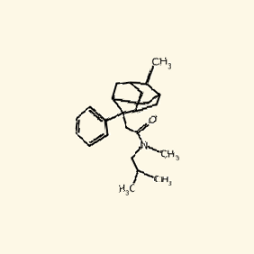 CC(C)CN(C)C(=O)CC1(c2ccccc2)C2CC3CC1CC(C2)C3C